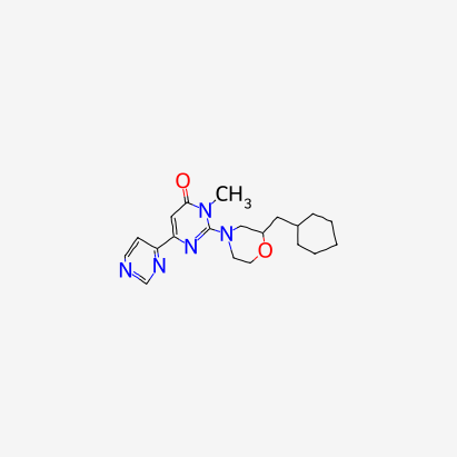 Cn1c(N2CCOC(CC3CCCCC3)C2)nc(-c2ccncn2)cc1=O